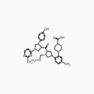 COC[C@@H]1CC(c2ccc(C)cc2N2CCC(C(=O)O)CC2)CN1C(=O)C1CN(c2ccnc(C)n2)C[C@H]1c1ccc(O)cc1